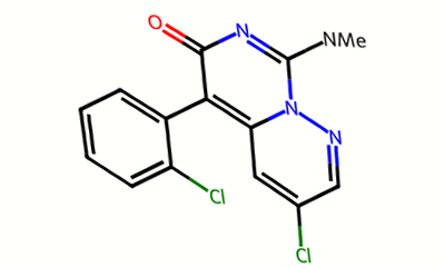 CNc1nc(=O)c(-c2ccccc2Cl)c2cc(Cl)cnn12